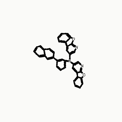 c1cc(-c2ccc3ccccc3c2)cc(N(c2cnc3oc4ccccc4c3c2)c2cnc3oc4ccccc4c3c2)c1